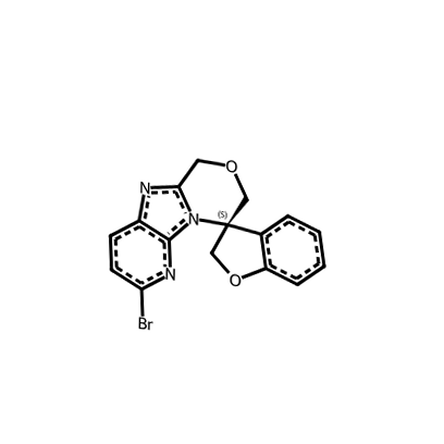 Brc1ccc2nc3n(c2n1)[C@@]1(COC3)COc2ccccc21